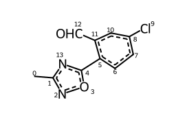 Cc1noc(-c2ccc(Cl)cc2C=O)n1